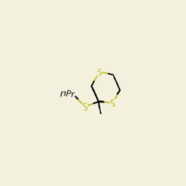 CCCSC1(C)CSCCS1